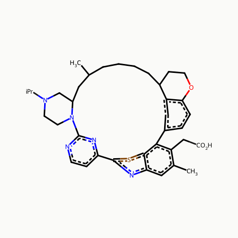 Cc1cc2nc3sc2c(c1CC(=O)O)-c1ccc2c(c1)C(CCCCC(C)CC1CN(C(C)C)CCN1c1nccc-3n1)CCO2